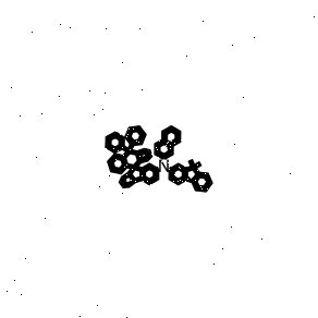 CC1(C)c2ccccc2-c2ccc(N(c3ccc4c(c3)C3(c5ccccc5C(c5ccccc5)(c5ccccc5)c5ccccc53)C3C=CC=CC43)c3ccc4ccccc4c3)cc21